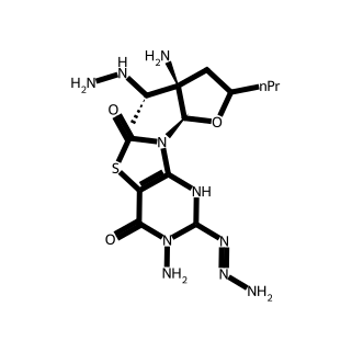 CCCC1C[C@@](N)([C@H](C)NN)[C@H](n2c3c(sc2=O)C(=O)N(N)C(N=NN)N3)O1